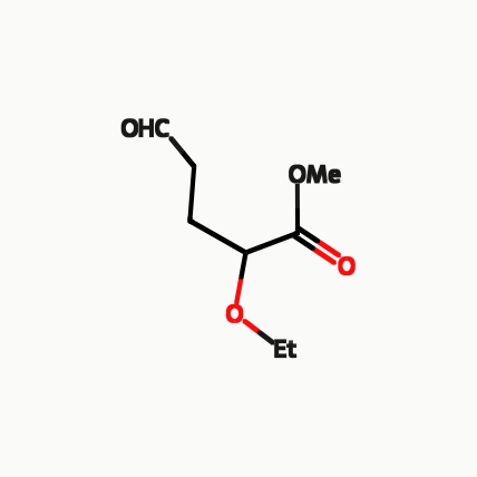 CCOC(CCC=O)C(=O)OC